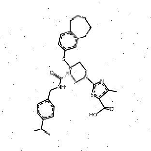 Cc1nc(N2CCN(Sc3ccc4c(c3)CCCCC4)[C@@H](C(=O)NCc3ccc(C(C)C)cc3)C2)sc1C(=O)O